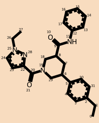 CCc1ccc(C2CC(C(=O)Nc3ccccc3)CN(C(=O)c3ccn(CC)n3)C2)cc1